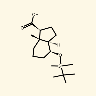 CC(C)(C)[Si](C)(C)O[C@H]1CCC[C@]2(C)[C@@H](C(=O)O)CC[C@@H]12